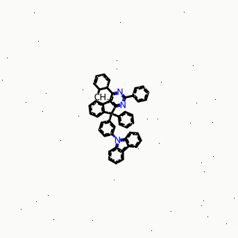 CC1C=CC=CC1c1nc(-c2ccccc2)nc2c1-c1ccccc1C2(c1ccccc1)c1cccc(-n2c3ccccc3c3ccccc32)c1